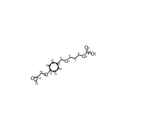 O=[N+]([O-])OCCCOCc1ccc(OCC2CO2)cc1